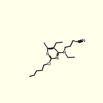 CCCCCOc1nc(C)c(CC)c(N(CC)CCCC#N)n1